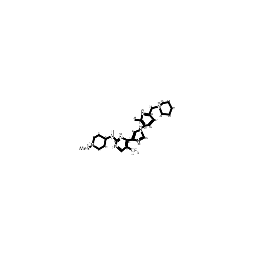 CSN1CCC(Nc2ncc(C(F)(F)F)c(-c3cn(-c4ccc(CN5CCCCC5)nc4C)cn3)n2)CC1